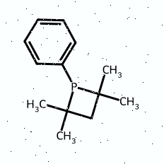 CC1(C)CC(C)(C)P1c1ccccc1